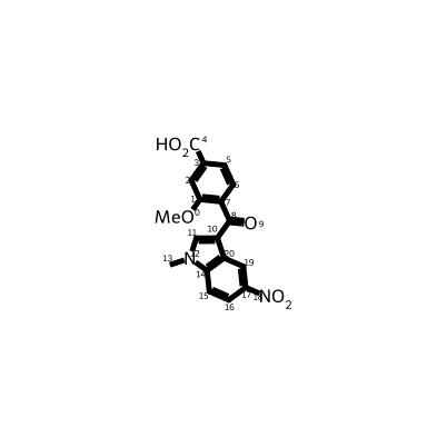 COc1cc(C(=O)O)ccc1C(=O)c1cn(C)c2ccc([N+](=O)[O-])cc12